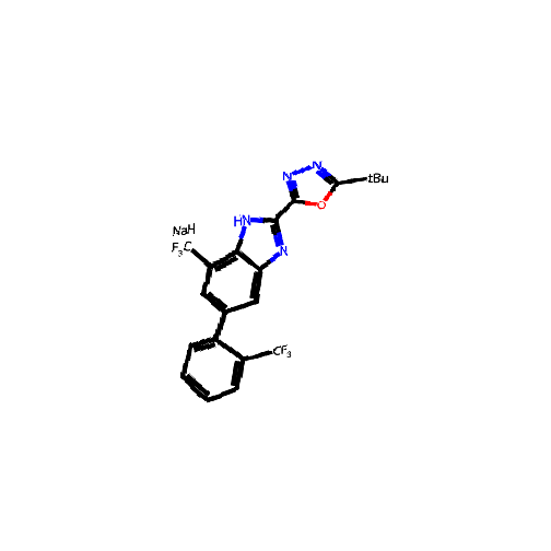 CC(C)(C)c1nnc(-c2nc3cc(-c4ccccc4C(F)(F)F)cc(C(F)(F)F)c3[nH]2)o1.[NaH]